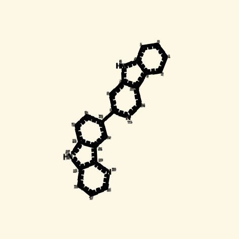 c1ccc2c(c1)[nH]c1cc(-c3ccc4[nH]c5cccnc5c4c3)ncc12